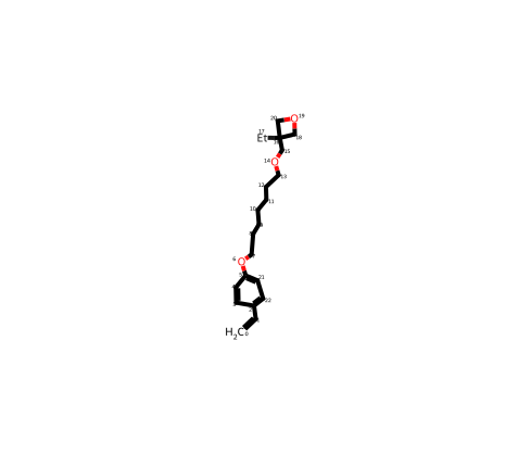 C=Cc1ccc(OCCCCCCCOCC2(CC)COC2)cc1